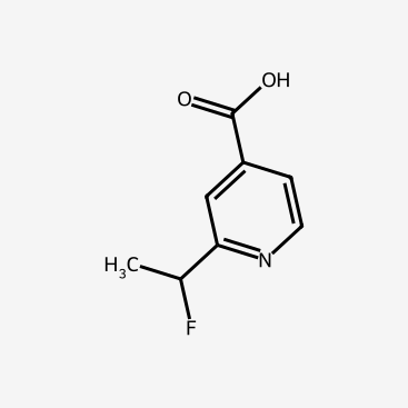 CC(F)c1cc(C(=O)O)ccn1